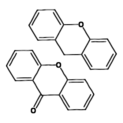 O=c1c2ccccc2oc2ccccc12.c1ccc2c(c1)Cc1ccccc1O2